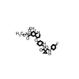 CONC(=O)c1cc2c(Oc3ccc(NC(=O)C4(C(=O)Nc5ccc(F)cc5)CC4)cc3)ccnc2cc1OC